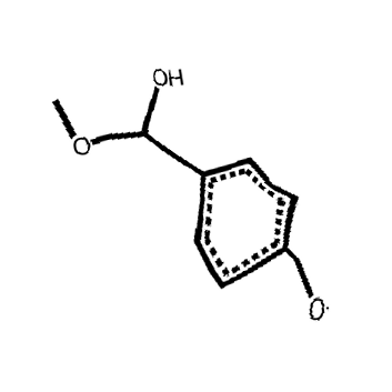 COC(O)c1ccc([O])cc1